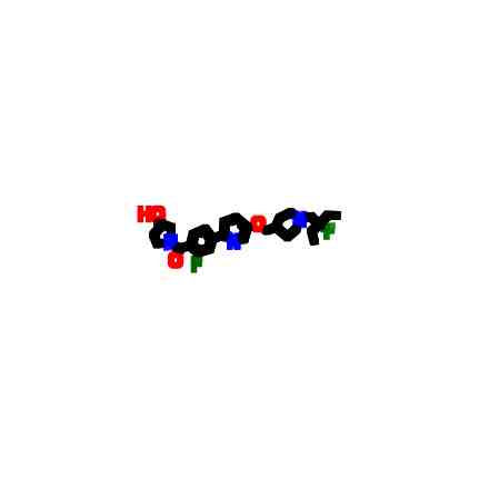 CCC(F)(CC)CN1CCC(COc2ccc(-c3ccc(C(=O)N4CC[C@H](O)C4)c(F)c3)nc2)CC1